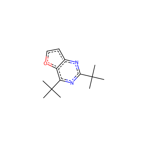 CC(C)(C)c1nc(C(C)(C)C)c2occc2n1